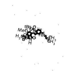 COc1cc(-c2cc3cc(CNCCN(C)C)ccc3n2C(=O)OC(C)(C)C)c2c(c1OS(C)(=O)=O)CNC2=O